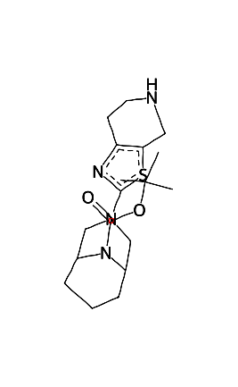 CC(C)(C)OC(=O)N1C2CCCC1CN(c1nc3c(s1)CNCC3)C2